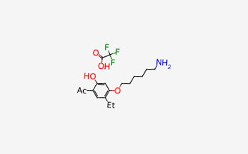 CCc1cc(C(C)=O)c(O)cc1OCCCCCCN.O=C(O)C(F)(F)F